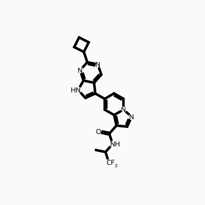 CC(NC(=O)c1cnn2ccc(-c3c[nH]c4nc(C5CCC5)ncc34)cc12)C(F)(F)F